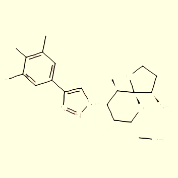 Cc1cc(-c2cn([C@H]3[C@@H](O)[C@@H](CO)O[C@]4(OCC[C@H]4N)[C@@H]3O)nn2)cc(F)c1F